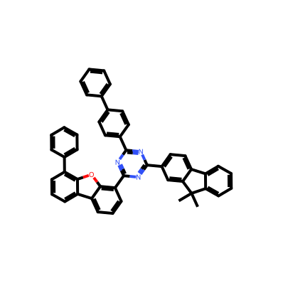 CC1(C)c2ccccc2-c2ccc(-c3nc(-c4ccc(-c5ccccc5)cc4)nc(-c4cccc5c4oc4c(-c6ccccc6)cccc45)n3)cc21